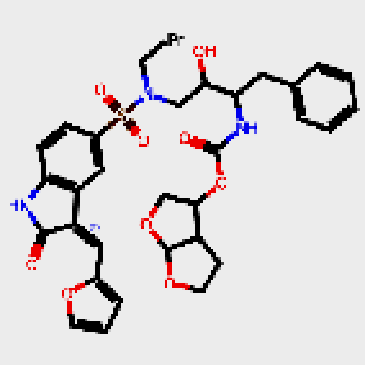 CC(C)CN(CC(O)C(Cc1ccccc1)NC(=O)OC1COC2OCCC12)S(=O)(=O)c1ccc2c(c1)/C(=C/c1ccco1)C(=O)N2